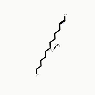 CC(=O)O.CC/C=C/CCCCCCCCCCO